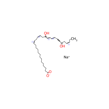 CC/C=C\C[C@H](O)C#C/C=C/C=C/[C@H](O)C/C=C\C/C=C\CCCCCCCCCCCCC(=O)[O-].[Na+]